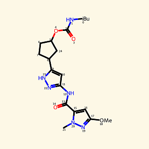 CCC(C)NC(=O)OC1CCC(c2cc(NC(=O)c3cc(OC)nn3C)n[nH]2)C1